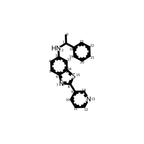 CC(Nc1ccc2nc(-c3cccnc3)sc2c1)c1ccccc1